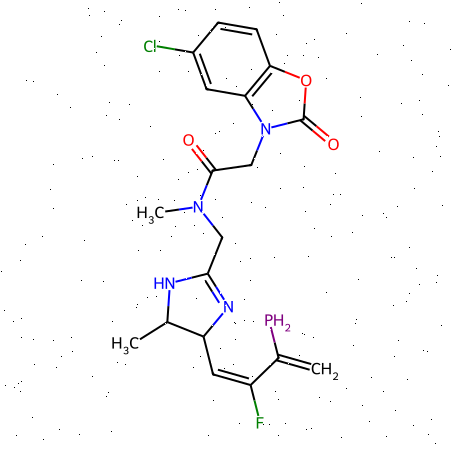 C=C(P)/C(F)=C\C1N=C(CN(C)C(=O)Cn2c(=O)oc3ccc(Cl)cc32)NC1C